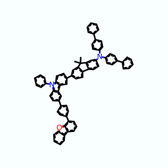 CC1(C)c2cc(-c3ccc4c(c3)c3cc(-c5ccc(-c6cccc7c6oc6ccccc67)cc5)ccc3n4-c3ccccc3)ccc2-c2ccc(N(c3ccc(-c4ccccc4)cc3)c3ccc(-c4ccccc4)cc3)cc21